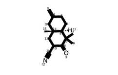 C=C1CC[C@H]2C(C)(C)C(=O)C(C#N)C[C@]2(C)C1